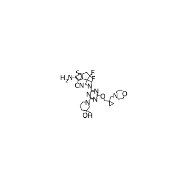 C[C@@]1(O)CCCN(c2nc(OCC3(CN4CCOCC4)CC3)nc(N3CC4(C3)c3c(sc(N)c3C#N)CC4(F)F)n2)C1